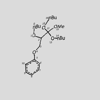 CCCCOC(COc1ccccc1)C(OC)(OCCCC)OCCCC